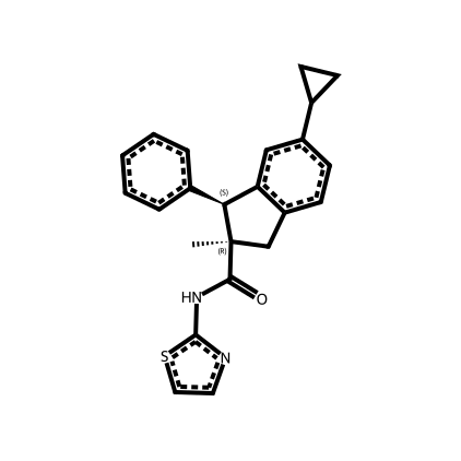 C[C@@]1(C(=O)Nc2nccs2)Cc2ccc(C3CC3)cc2[C@@H]1c1ccccc1